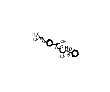 C[C@H](N)COc1ccc(C(=O)OC(=O)C[C@@H](N)NS(=O)(=O)c2ccccc2)cc1.Cl